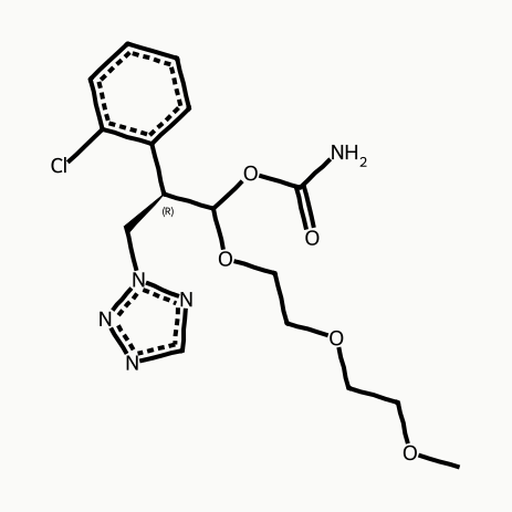 COCCOCCOC(OC(N)=O)[C@@H](Cn1ncnn1)c1ccccc1Cl